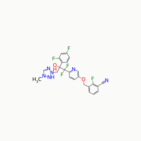 CN1C=NN(CC(O)(c2ccc(F)cc2F)C(F)(F)c2ccc(OCc3cccc(C#N)c3F)cn2)N1